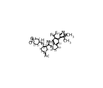 CC(=O)N1CCC(NC2CCS(=O)(=O)CC2)=C(C(=N)N2CCCc3cc(-c4cnn(C)c4C)c(C(F)F)cc32)C1